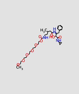 COCCOCCOCCOCCOCCOC(=O)NCCC(C)CC(=O)N[C@@H](Cc1ccccc1)C(O)C(=O)NC1CC1